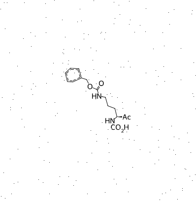 CC(=O)[C@H](CCCNC(=O)OCc1ccccc1)NC(=O)O